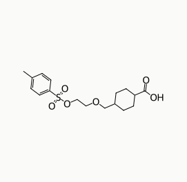 Cc1ccc(S(=O)(=O)OCCOCC2CCC(C(=O)O)CC2)cc1